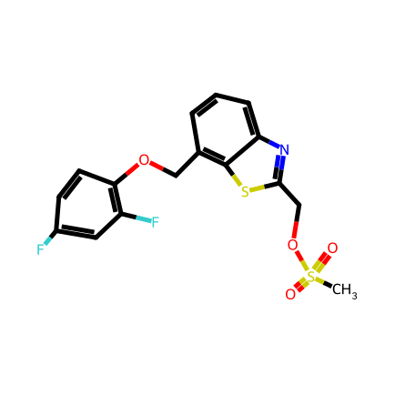 CS(=O)(=O)OCc1nc2cccc(COc3ccc(F)cc3F)c2s1